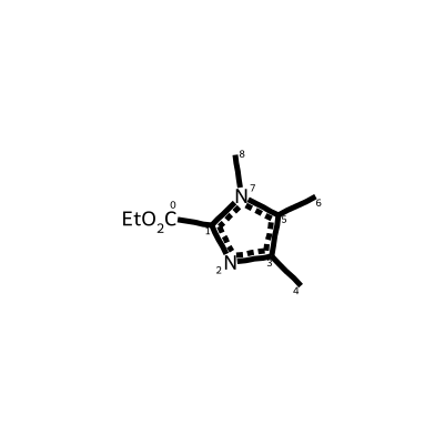 CCOC(=O)c1nc(C)c(C)n1C